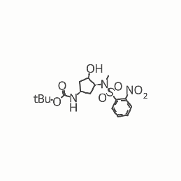 CN([C@H]1C[C@@H](NC(=O)OC(C)(C)C)C[C@H]1O)S(=O)(=O)c1ccccc1[N+](=O)[O-]